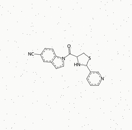 N#Cc1ccc2c(ccn2C(=O)C2CSC(c3cccnc3)N2)c1